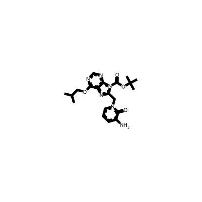 CC(C)COc1ncnc2c1nc(Cn1cccc(N)c1=O)n2C(=O)OC(C)(C)C